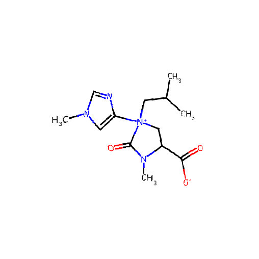 CC(C)C[N+]1(c2cn(C)cn2)CC(C(=O)[O-])N(C)C1=O